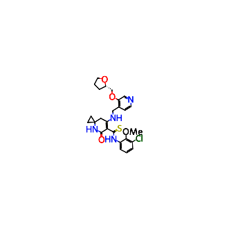 COc1c(Cl)cccc1NC(=S)C1=C(NCc2ccncc2OC[C@@H]2CCCO2)CC2(CC2)NC1=O